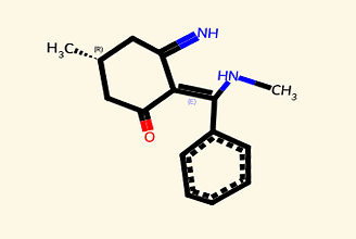 CN/C(=C1\C(=N)C[C@@H](C)CC1=O)c1ccccc1